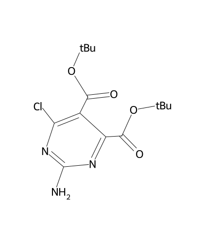 CC(C)(C)OC(=O)c1nc(N)nc(Cl)c1C(=O)OC(C)(C)C